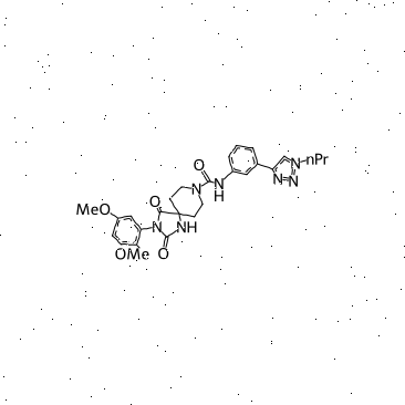 CCCn1cc(-c2cccc(NC(=O)N3CCC4(CC3)NC(=O)N(c3cc(OC)ccc3OC)C4=O)c2)nn1